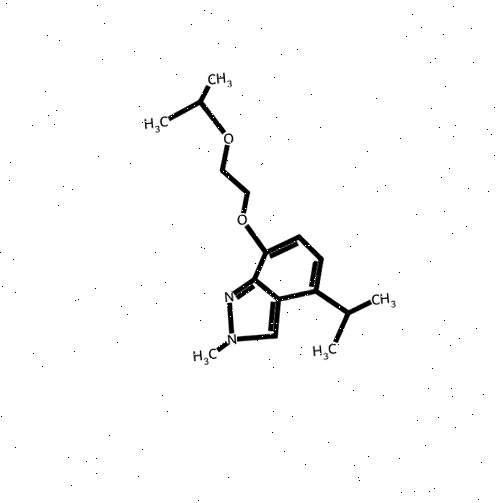 CC(C)OCCOc1ccc(C(C)C)c2cn(C)nc12